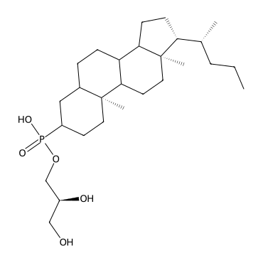 CCC[C@@H](C)[C@H]1CCC2C3CCC4CC(P(=O)(O)OC[C@@H](O)CO)CC[C@]4(C)C3CC[C@@]21C